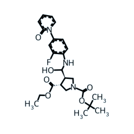 CCOC(=O)[C@H]1CN(C(=O)OC(C)(C)C)C[C@@H]1C(O)Nc1ccc(-n2ccccc2=O)cc1F